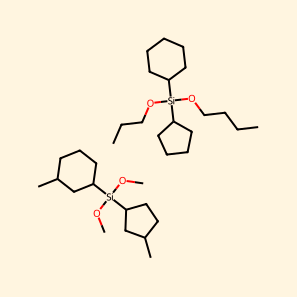 CCCCO[Si](OCCC)(C1CCCCC1)C1CCCC1.CO[Si](OC)(C1CCCC(C)C1)C1CCC(C)C1